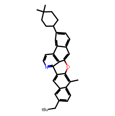 Cc1c2c(cc3cc(CC(C)(C)C)ccc13)-c1nccc3c1c(cc1ccc(C4CCC(C)(C)CC4)cc13)O2